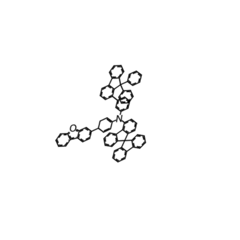 C1=CC(c2ccc3c(c2)oc2ccccc23)CC=C1N(c1cccc(-c2cccc3c2C(c2ccccc2)(c2ccccc2)c2ccccc2-3)c1)c1cccc2c1-c1ccccc1C21c2ccccc2-c2ccccc21